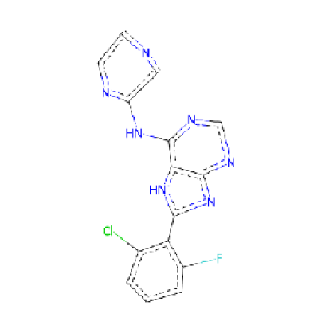 Fc1cccc(Cl)c1-c1nc2ncnc(Nc3cnccn3)c2[nH]1